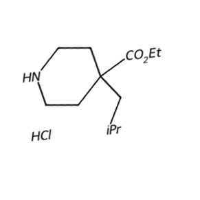 CCOC(=O)C1(CC(C)C)CCNCC1.Cl